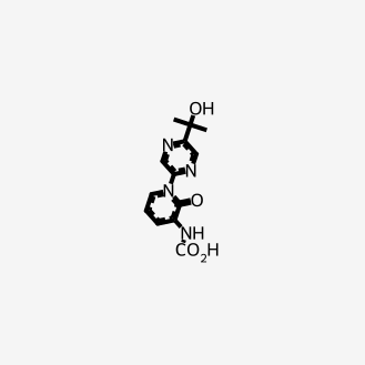 CC(C)(O)c1cnc(-n2cccc(NC(=O)O)c2=O)cn1